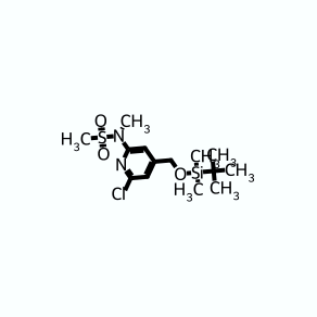 CN(c1cc(CO[Si](C)(C)C(C)(C)C)cc(Cl)n1)S(C)(=O)=O